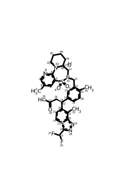 Cc1cnc2c(c1)S(=O)(=O)N(Cc1cc([C@H](CC(=O)O)c3ccn4c(C(F)F)nnc4c3C)ccc1C)C[C@@H]1CCCCN21